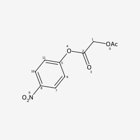 CC(=O)OCC(=O)Oc1ccc([N+](=O)[O-])cc1